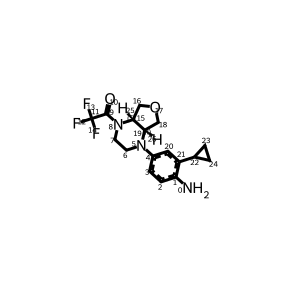 Nc1ccc(N2CCN(C(=O)C(F)(F)F)[C@@H]3COC[C@@H]32)cc1C1CC1